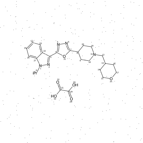 CC(C)n1nc(-c2nnc(C3CCN(CC4CCOCC4)CC3)o2)c2ccccc21.O=C(O)C(=O)O